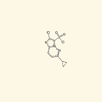 O=S(=O)(Cl)c1c(Cl)nc2ccc(C3CC3)nn12